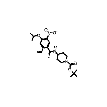 C=Cc1cc(OC(C)C)c([N+](=O)[O-])cc1C(=O)NC1CCN(C(=O)OC(C)(C)C)CC1